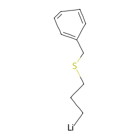 [Li][CH2]CCSCc1ccccc1